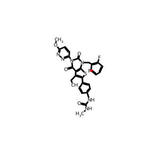 CCc1c(-c2ccc(NC(=O)NC)cc2)sc2c1c(=O)n(-c1ccc(OC)nn1)c(=O)n2Cc1c(F)cccc1F